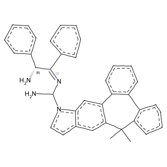 CC1(C)c2ccccc2-c2ccccc2-c2cc3c(ccn3C(N)/N=C(/c3ccccc3)[C@H](N)c3ccccc3)cc21